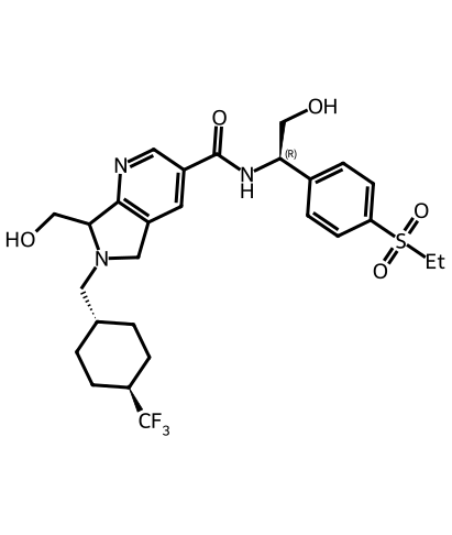 CCS(=O)(=O)c1ccc([C@H](CO)NC(=O)c2cnc3c(c2)CN(C[C@H]2CC[C@H](C(F)(F)F)CC2)C3CO)cc1